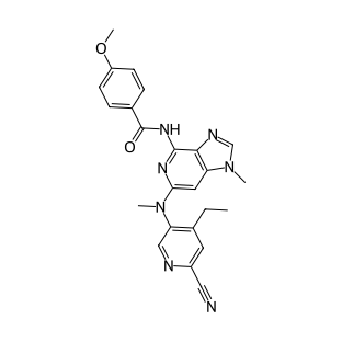 CCc1cc(C#N)ncc1N(C)c1cc2c(ncn2C)c(NC(=O)c2ccc(OC)cc2)n1